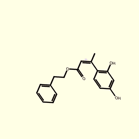 C/C(=C/C(=O)OCCc1ccccc1)c1ccc(O)cc1O